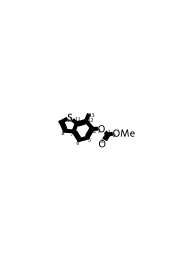 COC(=O)Oc1ccc2ccsc2c1C